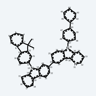 CC1(C)c2ccccc2-c2ccc(-n3c4ccccc4c4ccc(-c5ccc6c(c5)c5ncccc5n6-c5ccc(-c6ccccc6)cc5)cc43)cc21